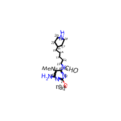 CCCCOc1nc(N)c(NC)c(N(C=O)CCCCCC2CCNCC2)n1